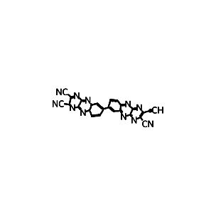 C#Cc1nc2nc3ccc(C4=CC5N=c6nc(C#N)c(C#N)nc6=NC5C=C4)cc3nc2nc1C#N